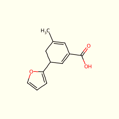 CC1=CC(C(=O)O)=CC(c2ccco2)C1